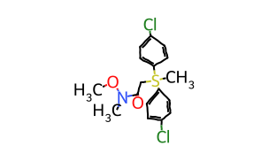 CON(C)C(=O)CS(C)(c1ccc(Cl)cc1)c1ccc(Cl)cc1